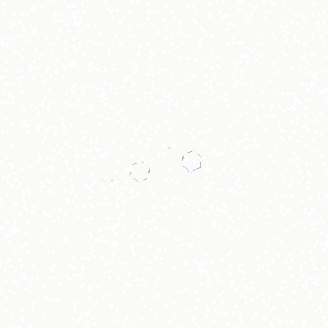 COc1ccc(CSc2nc(C=O)ccc2C#N)cc1